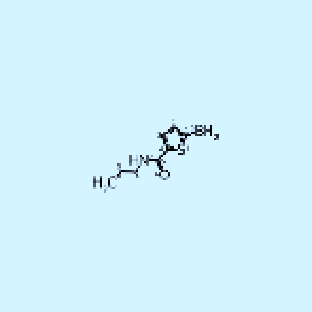 Bc1ccc(C(=O)NCCC)s1